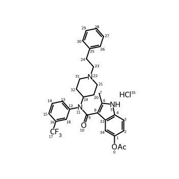 CC(=O)Oc1ccc2[nH]c(C)c(C(=O)N(c3cccc(C(F)(F)F)c3)C3CCN(CCc4ccccc4)CC3)c2c1.Cl